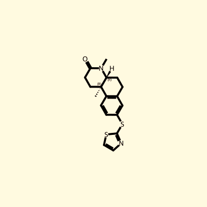 CN1C(=O)CC[C@]2(C)c3ccc(Sc4nccs4)cc3CC[C@@H]12